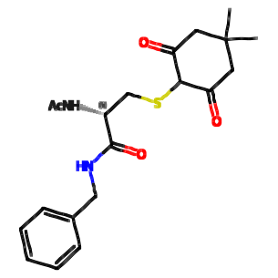 CC(=O)N[C@H](CSC1C(=O)CC(C)(C)CC1=O)C(=O)NCc1ccccc1